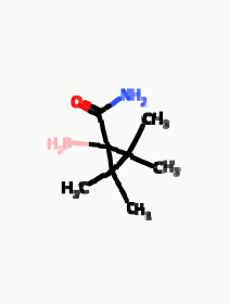 BC1(C(N)=O)C(C)(C)C1(C)C